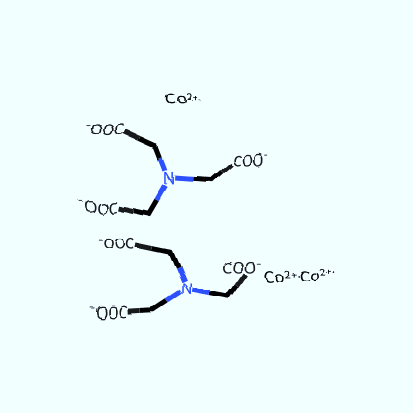 O=C([O-])CN(CC(=O)[O-])CC(=O)[O-].O=C([O-])CN(CC(=O)[O-])CC(=O)[O-].[Co+2].[Co+2].[Co+2]